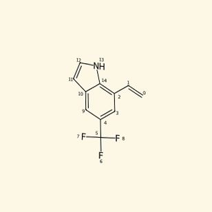 C=Cc1cc(C(F)(F)F)cc2cc[nH]c12